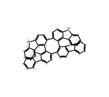 c1ccc2c(c1)[nH]c1ccc3c(c12)-c1c(ccc2c1sc1ccccc12)-c1ccc2c(sc4ccccc42)c1-c1c-3ccc2[nH]c3ccccc3c12